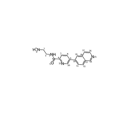 NCCNC(=O)c1[c]cc(-c2ccc3cnccc3c2)cn1